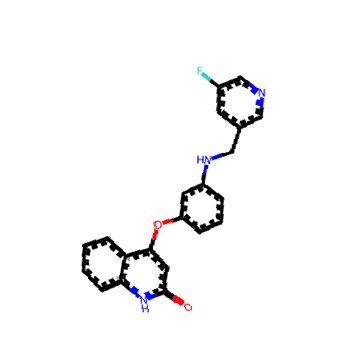 O=c1cc(Oc2cccc(NCc3cncc(F)c3)c2)c2ccccc2[nH]1